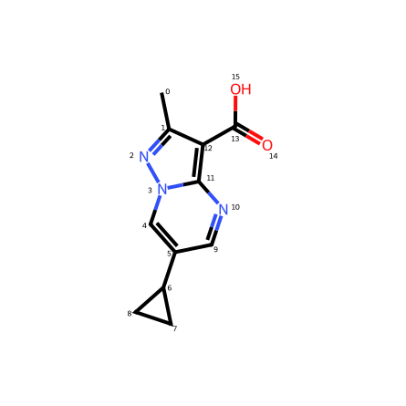 Cc1nn2cc(C3CC3)cnc2c1C(=O)O